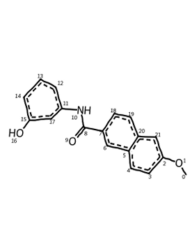 COc1ccc2cc(C(=O)Nc3cccc(O)c3)ccc2c1